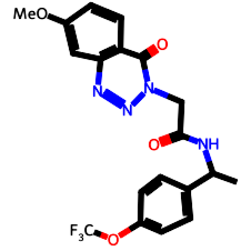 COc1ccc2c(=O)n(CC(=O)NC(C)c3ccc(OC(F)(F)F)cc3)nnc2c1